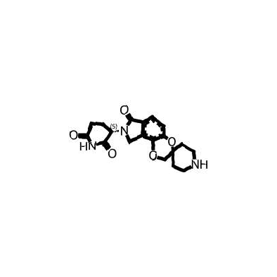 O=C1CC[C@H](N2Cc3c(ccc4c3OCC3(CCNCC3)O4)C2=O)C(=O)N1